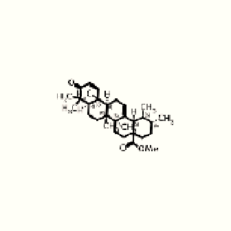 COC(=O)[C@]12CC[C@@H](C)[C@H](C)[C@H]1C1=CC[C@@H]3[C@@]4(C)C=CC(=O)C(C)(C)[C@@H]4CC[C@@]3(C)[C@]1(C)CC2